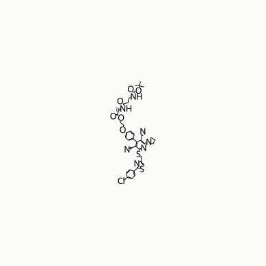 C[C@H](NC(=O)CCNC(=O)OC(C)(C)C)C(=O)OCCOc1ccc(-c2c(C#N)c(SCc3csc(-c4ccc(Cl)cc4)n3)nc(N3CCC3)c2C#N)cc1